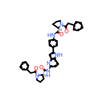 O=C(Nc1ccc(-c2cc3nc(NC(=O)[C@@H]4CCCN4C(=O)Cc4ccccc4)ccc3[nH]2)cc1)[C@@H]1CCCN1C(=O)Cc1ccccc1